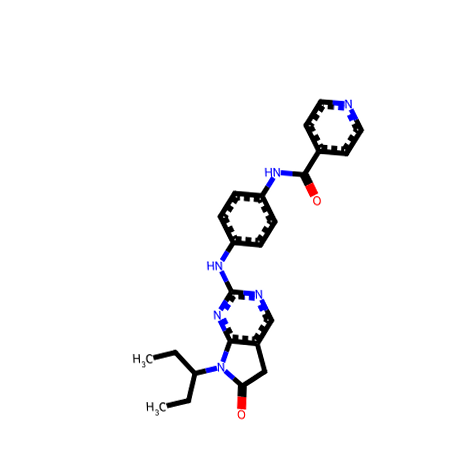 CCC(CC)N1C(=O)Cc2cnc(Nc3ccc(NC(=O)c4ccncc4)cc3)nc21